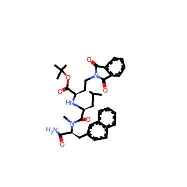 CC(C)C[C@H](N[C@H](CCN1C(=O)c2ccccc2C1=O)C(=O)OC(C)(C)C)C(=O)N(C)[C@@H](Cc1ccc2ccccc2c1)C(N)=O